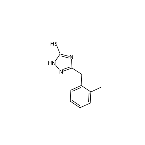 Cc1ccccc1Cc1n[nH]c(S)n1